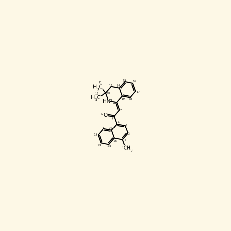 Cc1ccc(C(=O)/C=C2\NC(C)(C)Cc3ccccc32)c2ccccc12